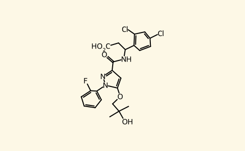 CC(C)(O)COc1cc(C(=O)NC(CC(=O)O)c2ccc(Cl)cc2Cl)nn1-c1ccccc1F